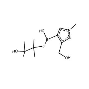 Cn1cc(B(O)OC(C)(C)C(C)(C)O)c(CO)n1